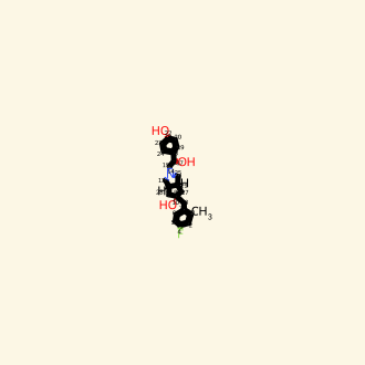 Cc1cc(F)ccc1C[C@@]1(O)C[C@H]2CN(CC(O)c3ccc(O)cc3)C[C@H]2C1